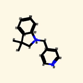 CC1(C)CN(Cc2ccncc2)c2cc[c]cc21